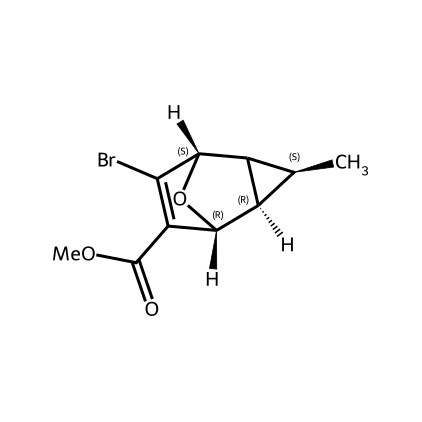 COC(=O)C1=C(Br)[C@H]2O[C@@H]1[C@H]1C2[C@H]1C